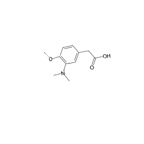 COc1ccc(CC(=O)O)cc1N(C)C